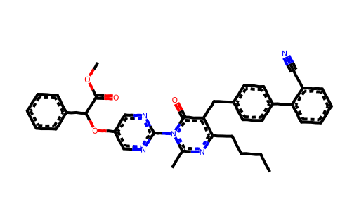 CCCCc1nc(C)n(-c2ncc(OC(C(=O)OC)c3ccccc3)cn2)c(=O)c1Cc1ccc(-c2ccccc2C#N)cc1